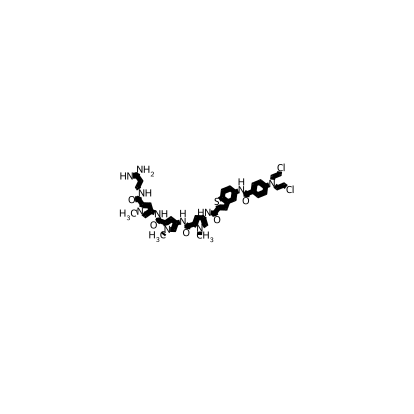 Cn1cc(NC(=O)c2cc(NC(=O)c3cc(NC(=O)c4cc5cc(NC(=O)c6ccc(N(CCCl)CCCl)cc6)ccc5s4)cn3C)cn2C)cc1C(=O)NCCC(=N)N